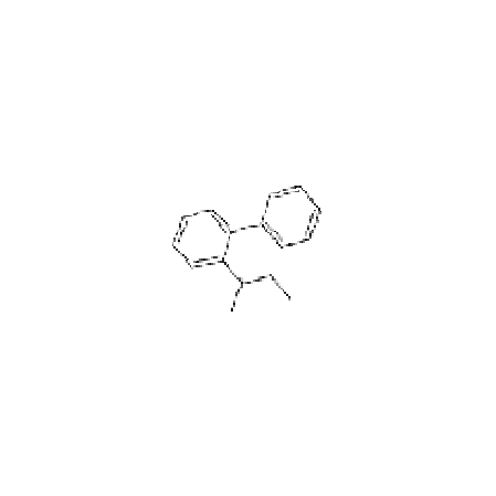 CC[C](C)c1ccccc1-c1ccccc1